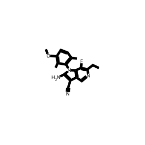 CCc1ncc2c(C#N)c(N)n(-c3c(C)ccc(OC)c3C)c2c1F